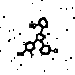 Oc1ccc(C2CC(c3ccccc3O)=NN2c2cccc(Cl)c2)cc1F